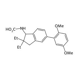 CCC1(CC)Cc2cc(-c3cc(OC)ccc3OC)ccc2C1NC(=O)O